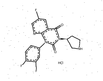 Cl.O=c1c2cc(F)cnc2n(-c2ccc(F)c(F)c2)c(=O)n1[C@H]1CCNC1